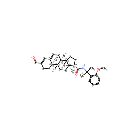 COc1ccccc1C(C)(C)NC(=O)[C@H]1CC[C@H]2[C@@H]3CC=C4C=C(C=O)CC[C@]4(C)[C@H]3CC[C@]12C